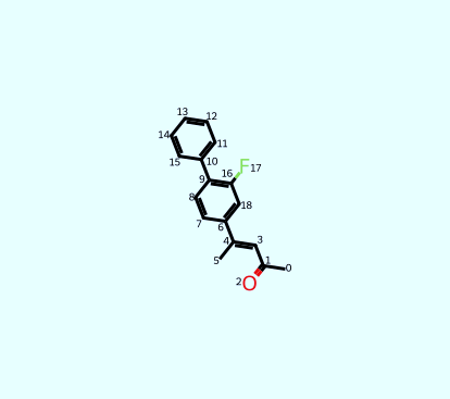 CC(=O)C=C(C)c1ccc(-c2ccccc2)c(F)c1